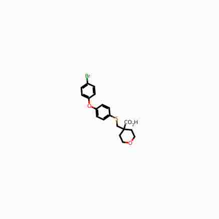 O=C(O)C1(CSc2ccc(Oc3ccc(Br)cc3)cc2)CCOCC1